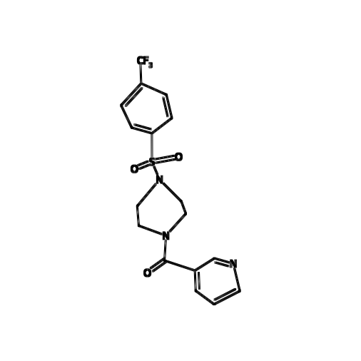 O=C(c1cccnc1)N1CCN(S(=O)(=O)c2ccc(C(F)(F)F)cc2)CC1